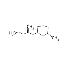 BCCC(=C)CC1CCCC(C)C1